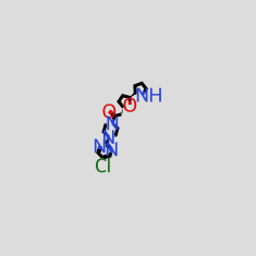 O=C(C[C@@H]1CC[C@@H](C2CCCN2)O1)N1CCN(c2ncc(Cl)cn2)CC1